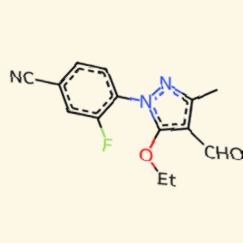 CCOc1c(C=O)c(C)nn1-c1ccc(C#N)cc1F